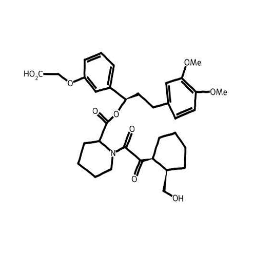 COc1ccc(CC[C@@H](OC(=O)C2CCCCN2C(=O)C(=O)[C@H]2CCCC[C@H]2CO)c2cccc(OCC(=O)O)c2)cc1OC